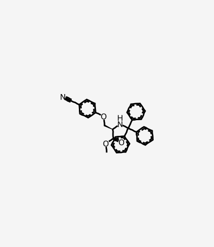 COC(=O)[C@@H](COc1ccc(C#N)cc1)NC(c1ccccc1)(c1ccccc1)c1ccccc1